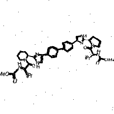 COC(=O)NC(C(=O)N1CCCC[C@H]1c1nc(-c2ccc(-c3ccc(-c4c[nH]c([C@@H]5CCCN5C(=O)[C@@H](NC(=O)OC)C(C)C)n4)cc3)cc2)c[nH]1)C(C)C